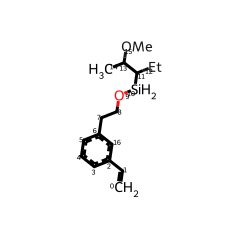 C=Cc1cccc(CCO[SiH2]C(CC)C(C)OC)c1